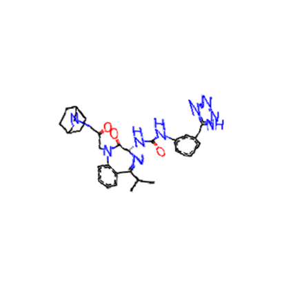 CC(C)C1=N[C@@H](NC(=O)Nc2cccc(-c3nnn[nH]3)c2)C(=O)N(CC(=O)N2CC3CCC(CC3)C2)c2ccccc21